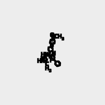 CC(=O)N1CCN(c2ccc3c(Nc4cc(C)[nH]n4)nc(/C=C(\F)c4ccccc4)nc3c2)CC1